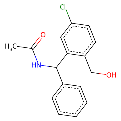 CC(=O)NC(c1ccccc1)c1cc(Cl)ccc1CO